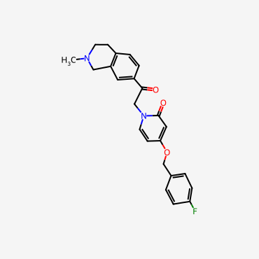 CN1CCc2ccc(C(=O)Cn3ccc(OCc4ccc(F)cc4)cc3=O)cc2C1